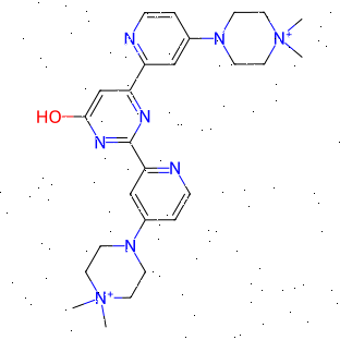 C[N+]1(C)CCN(c2ccnc(-c3cc(O)nc(-c4cc(N5CC[N+](C)(C)CC5)ccn4)n3)c2)CC1